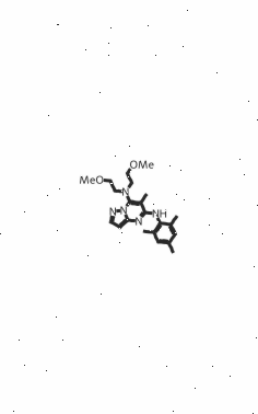 COCCN(CCOC)c1c(C)c(Nc2c(C)cc(C)cc2C)nc2ccnn12